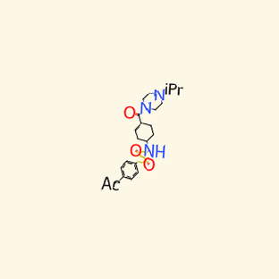 CC(=O)c1ccc(S(=O)(=O)NC2CCC(C(=O)N3CCN(C(C)C)CC3)CC2)cc1